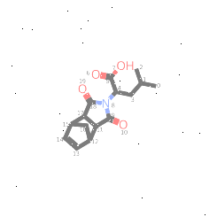 CC(C)CC(C(=O)O)N1C(=O)C2C3C=CC(C3)C2C1=O